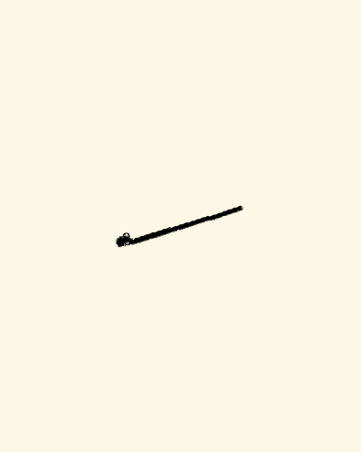 C#CC#CC#CC#CC#CC#CC#CC#CC#CC#CC#CC#CC#CC#CC#CC#CC#CC#CC#CC#CCCOC(=O)c1ccccc1